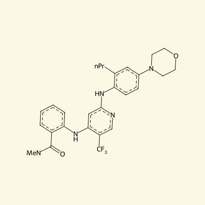 CCCc1cc(N2CCOCC2)ccc1Nc1cc(Nc2ccccc2C(=O)NC)c(C(F)(F)F)cn1